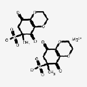 CC1(S(=O)(=O)[O-])CC(=O)C2=C(OCCO2)C1=O.CC1(S(=O)(=O)[O-])CC(=O)C2=C(OCCO2)C1=O.[Mg+2]